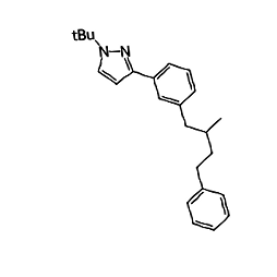 CC(CCc1ccccc1)Cc1cccc(-c2ccn(C(C)(C)C)n2)c1